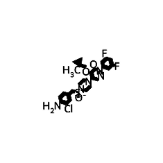 CC1(COc2c(N3CCN([S+]([O-])Cc4ccc(N)c(Cl)c4)CC3)cnn(-c3cc(F)cc(F)c3)c2=O)CC1